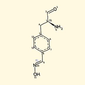 N[C@H](C=O)Cc1ccc(/C=N/O)cc1